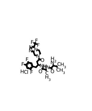 CC(NC(=O)C(N)C(C)C)C(=O)NC(CC(=O)N1CCn2c(nnc2C(F)(F)F)C1)Cc1cc(F)c(F)cc1F.Cl